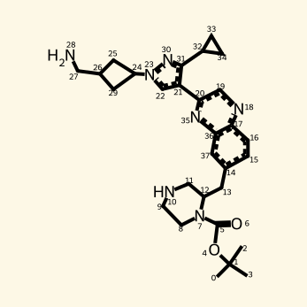 CC(C)(C)OC(=O)N1CCNCC1Cc1ccc2ncc(-c3cn(C4CC(CN)C4)nc3C3CC3)nc2c1